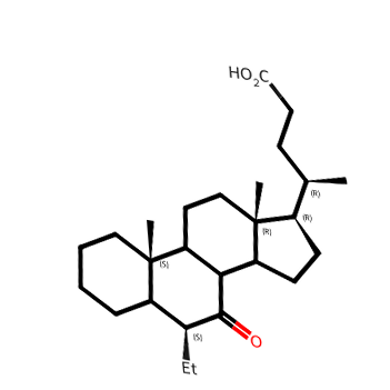 CC[C@@H]1C(=O)C2C(CC[C@@]3(C)C2CC[C@@H]3[C@H](C)CCC(=O)O)[C@@]2(C)CCCCC12